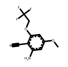 COc1cc(N)c(C#N)c(OCC(F)(F)F)c1